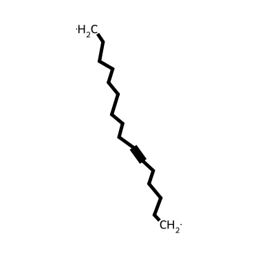 [CH2]CCCCC#CCCCCCCCC[CH2]